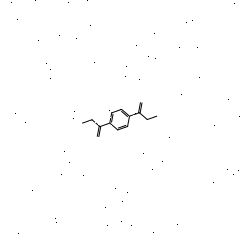 C=C(CC)c1ccc(C(=C)CC)cc1